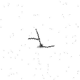 CCCCCCCCCCCOP(=O)(O)OCCCCCN(CCCCCCCCCCC)CCCCCCCCCCC